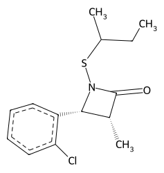 CCC(C)SN1C(=O)[C@H](C)[C@@H]1c1ccccc1Cl